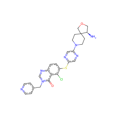 N[C@@H]1COCC12CCN(c1cnc(Sc3ccc4ncn(Cc5ccncc5)c(=O)c4c3Cl)cn1)CC2